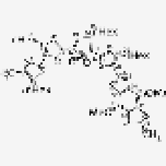 CCCCCCC1=C(c2cc(CCCCCC)c(C)s2)CC(C2=CC(CCCCCC)=C(c3cc(CCCCCC)c(-c4cc5c(OC)c6sc(C)cc6c(OC)c5s4)s3)S2(=O)=O)=C1